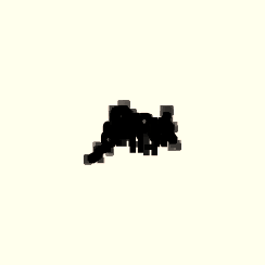 CCCCONS(=O)(=O)c1ccccc1S(=O)(=O)NC(=O)Nc1nc(C)cc(C)n1